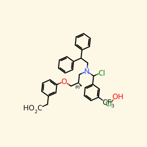 C[C@@H](COc1cccc(CC(=O)O)c1)CN(CC(c1ccccc1)c1ccccc1)C(Cl)c1cccc(C(F)(F)F)c1.OCl